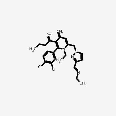 C=C1C=C(Cn2ccc(/C=N/CC)n2)N(CC)C(c2ccc(Cl)c(Cl)c2)=C1C(=P)CCC